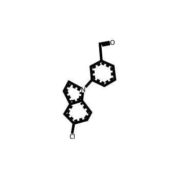 O=Cc1cccc(-n2ccc3cc(Cl)ccc32)c1